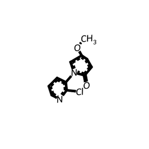 COc1ccc(=O)n(-c2cccnc2Cl)c1